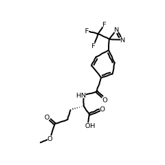 COC(=O)CC[C@H](NC(=O)c1ccc(C2(C(F)(F)F)N=N2)cc1)C(=O)O